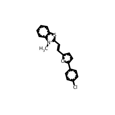 C[n+]1c(/C=C/c2ccc(-c3ccc(Cl)cc3)o2)sc2ccccc21